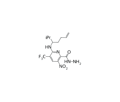 C=CCCC(Nc1nc(C(=O)NN)c([N+](=O)[O-])cc1C(F)(F)F)C(C)C